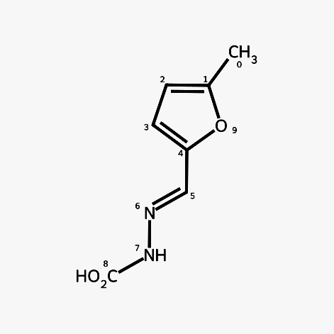 Cc1ccc(C=NNC(=O)O)o1